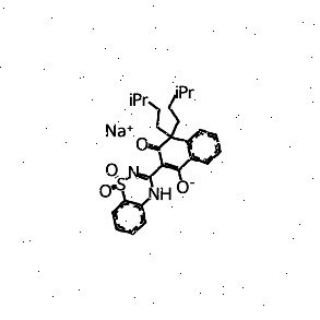 CC(C)CCC1(CCC(C)C)C(=O)C(C2=NS(=O)(=O)c3ccccc3N2)=C([O-])c2ccccc21.[Na+]